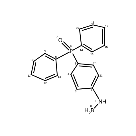 BNc1ccc(P(=O)(c2ccccc2)c2ccccc2)cc1